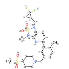 Cc1ccc(CN2CCC(S(C)(=O)=O)CC2)cc1-c1ccc2c(n1)N(C)S(=O)(=O)N2CC1CC1(F)F